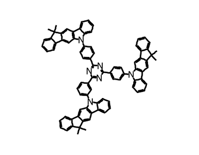 CC1(C)c2ccccc2-c2cc3c(cc21)c1ccccc1n3-c1ccc(-c2nc(-c3ccc(-n4c5ccccc5c5cc6c(cc54)-c4ccccc4C6(C)C)cc3)nc(-c3cccc(-n4c5ccccc5c5cc6c(cc54)-c4ccccc4C6(C)C)c3)n2)cc1